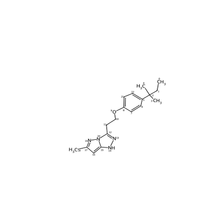 CCC(C)(C)c1ccc(OCCc2n[nH]c3cc(C)nn23)cc1